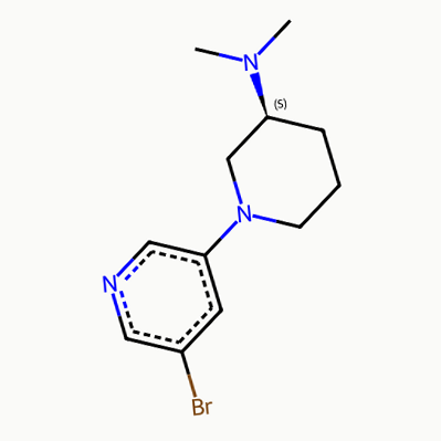 CN(C)[C@H]1CCCN(c2cncc(Br)c2)C1